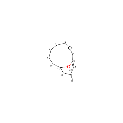 CC1C=C2CCCCCCCC(C1)O2